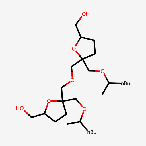 CCCCC(C)OCC1(COCC2(COC(C)CCCC)CCC(CO)O2)CCC(CO)O1